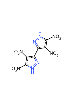 O=[N+]([O-])c1[nH]nc(-c2n[nH]c([N+](=O)[O-])c2[N+](=O)[O-])c1[N+](=O)[O-]